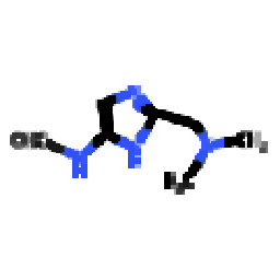 CN(C)Cc1ncc(NC=O)[nH]1